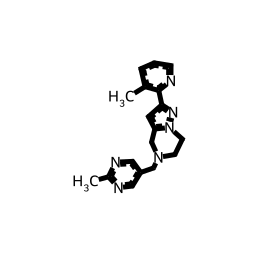 Cc1ncc(CN2CCn3nc(-c4ncccc4C)cc3C2)cn1